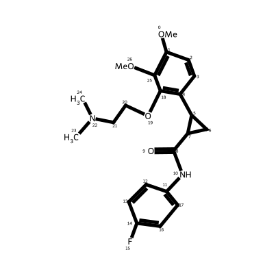 COc1ccc(C2CC2C(=O)Nc2ccc(F)cc2)c(OCCN(C)C)c1OC